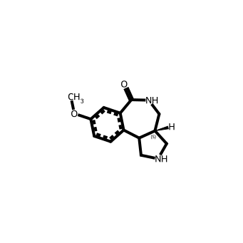 COc1ccc2c(c1)C(=O)NC[C@@H]1CNCC21